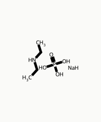 CCNCC.O=P(O)(O)O.[NaH]